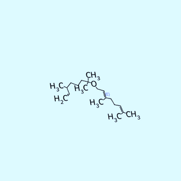 C=CC(C)CCCC(C)(C)OC/C=C(\C)CCC=C(C)C